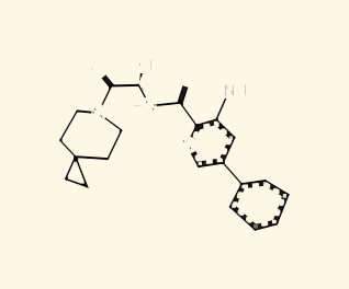 C[C@@H](NC(=O)c1ncc(-c2ccccc2)cc1N)C(=O)N1CCC2(CC1)CC2